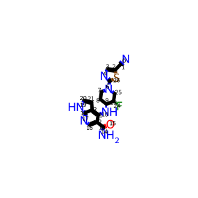 N#Cc1cnc(N2CC[C@H](Nc3c(C(N)=O)cnc4[nH]ccc34)[C@H](F)C2)s1